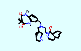 CCN1C(=O)C(C)(C)C(=O)N(C)c2cc(CN(CCn3ccc4ccccc4c3=O)Cc3cccnc3)ccc21